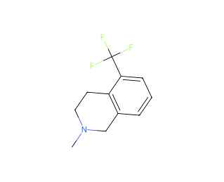 CN1CCc2c(cccc2C(F)(F)F)C1